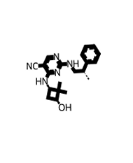 C[C@H](CNc1ncc(C#N)c(N[C@@H]2C[C@H](O)C2(C)C)n1)c1ccccc1